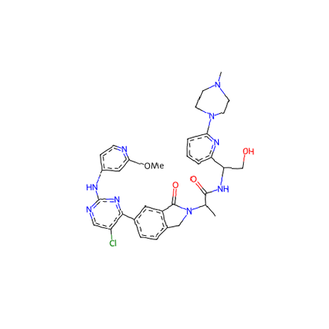 COc1cc(Nc2ncc(Cl)c(-c3ccc4c(c3)C(=O)N(C(C)C(=O)NC(CO)c3cccc(N5CCN(C)CC5)n3)C4)n2)ccn1